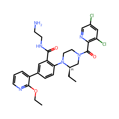 CCOc1ncccc1-c1ccc(N2CCN(C(=O)c3ncc(Cl)cc3Cl)C[C@H]2CC)c(C(=O)NCCN)c1